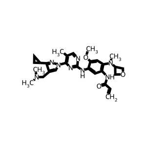 C=CC(=O)Nc1cc(Nc2ncc(C)c(-n3cc(CN(C)C)c(C4CC4)n3)n2)c(OC)cc1N(C)C1COC1